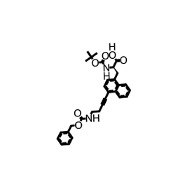 CC(C)(C)OC(=O)N[C@H](Cc1ccc(C#CCCNC(=O)OCc2ccccc2)c2ccccc12)C(=O)O